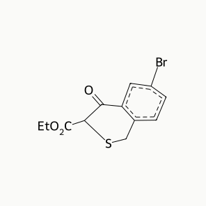 CCOC(=O)C1SCc2ccc(Br)cc2C1=O